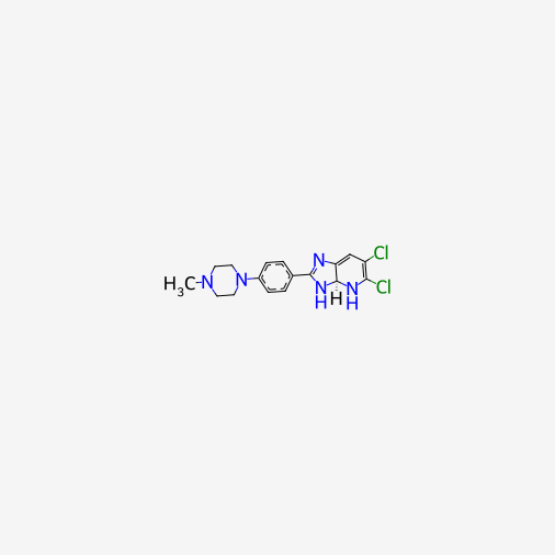 CN1CCN(c2ccc(C3=NC4=CC(Cl)=C(Cl)N[C@H]4N3)cc2)CC1